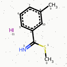 CSC(=N)c1cccc(C)c1.I